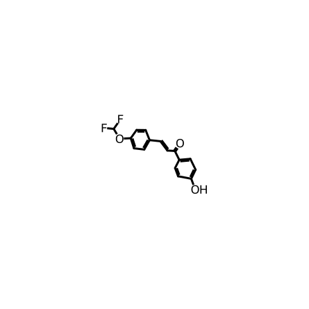 O=C(/C=C/c1ccc(OC(F)F)cc1)c1ccc(O)cc1